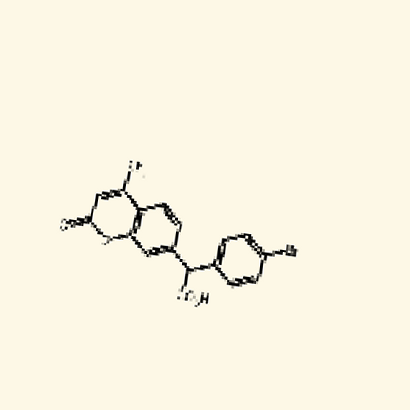 O=C(O)C(c1ccc(Br)cc1)c1ccc2c(C(F)(F)F)cc(=O)oc2c1